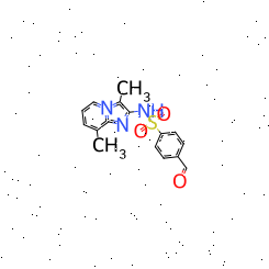 Cc1cccn2c(C)c(NS(=O)(=O)c3ccc(C=O)cc3)nc12